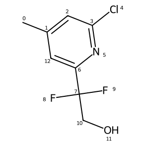 Cc1cc(Cl)nc(C(F)(F)CO)c1